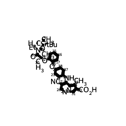 CCN(O[Si](C)(C)C(C)(C)C)C(=O)C(C)(C)Oc1ccccc1Oc1ccc(Nc2c(C#N)cnn3cc(C(=O)O)c(C)c23)cc1